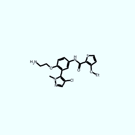 CCOc1ccsc1C(=O)Nc1ccc(OCCN)c(-c2c(Cl)cnn2C)c1